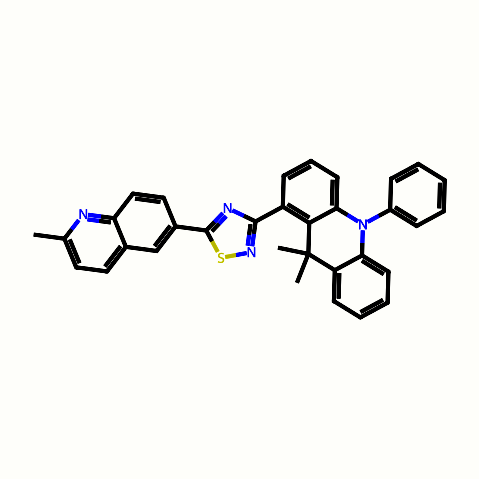 Cc1ccc2cc(-c3nc(-c4cccc5c4C(C)(C)c4ccccc4N5c4ccccc4)ns3)ccc2n1